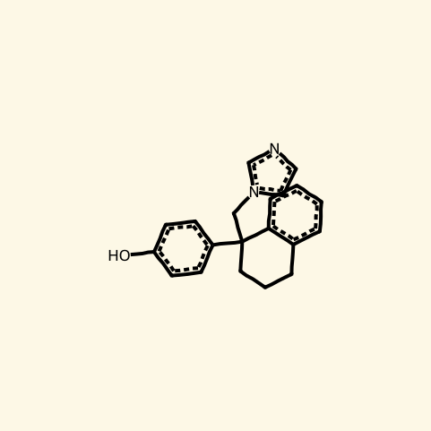 Oc1ccc(C2(Cn3ccnc3)CCCc3ccccc32)cc1